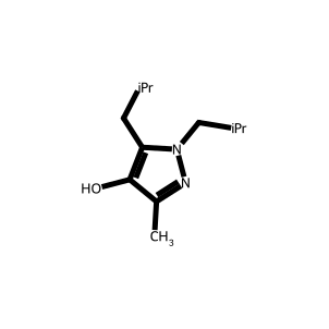 Cc1nn(CC(C)C)c(CC(C)C)c1O